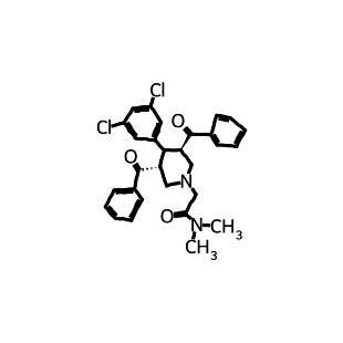 CN(C)C(=O)CN1C[C@H](C(=O)c2ccccc2)C(c2cc(Cl)cc(Cl)c2)[C@@H](C(=O)c2ccccc2)C1